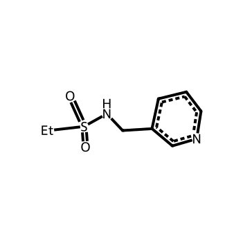 CCS(=O)(=O)NCc1cccnc1